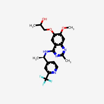 COc1cc2nc(C)nc(N[C@H](C)c3ccnc(C(F)(F)F)c3)c2cc1OCC(C)O